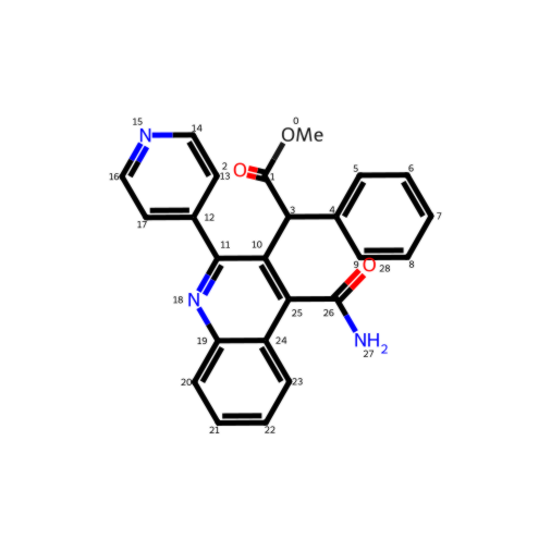 COC(=O)C(c1ccccc1)c1c(-c2ccncc2)nc2ccccc2c1C(N)=O